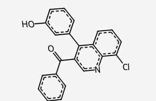 O=C(c1ccccc1)c1cnc2c(Cl)cccc2c1-c1cccc(O)c1